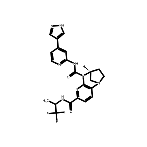 CC(NC(=O)c1ccc2c(n1)N(C(=O)Nc1cc(-c3cn[nH]c3)ccn1)[C@H]1CCN2C1)C(F)(F)F